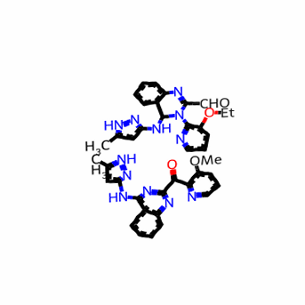 CCOc1cccnc1N1C(C=O)=Nc2ccccc2C1Nc1cc(C)[nH]n1.COc1cccnc1C(=O)c1nc(Nc2cc(C)[nH]n2)c2ccccc2n1